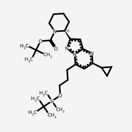 CC(C)(C)OC(=O)N1CCCC[C@H]1c1cc2nc(C3CC3)cc(CCCO[Si](C)(C)C(C)(C)C)n2n1